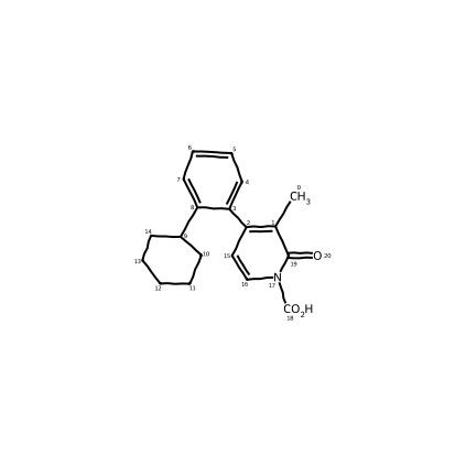 Cc1c(-c2ccccc2C2CCCCC2)ccn(C(=O)O)c1=O